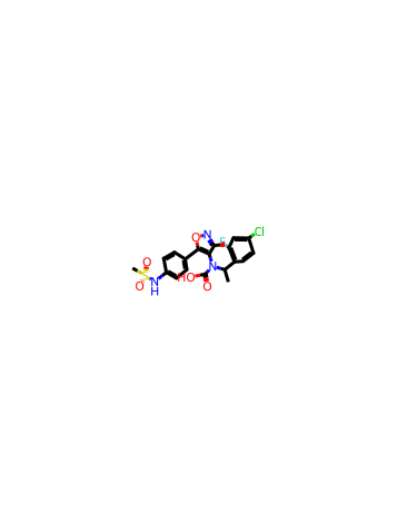 Cc1noc(-c2ccc(NS(C)(=O)=O)cc2)c1N(C(=O)O)C(C)c1ccc(Cl)cc1F